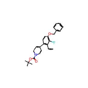 C=Cc1c(C2=CCN(C(=O)OC(C)(C)C)CC2)ccc(OCc2ccccc2)c1F